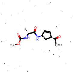 COC(=O)[C@@H]1C=C[C@H](NC(=O)[C@@H](C)NC(=O)OC(C)(C)C)C1